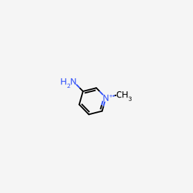 C[n+]1cccc(N)c1